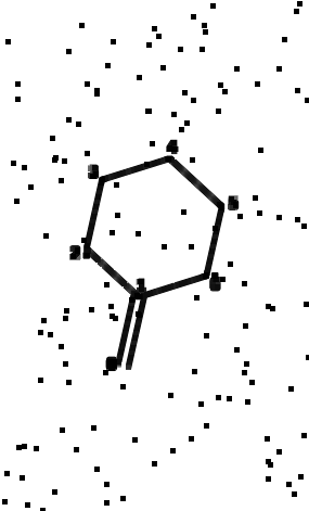 C=C1[CH]CCC[CH]1